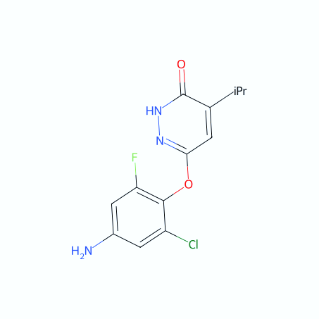 CC(C)c1cc(Oc2c(F)cc(N)cc2Cl)n[nH]c1=O